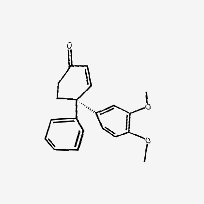 COc1ccc([C@@]2(c3ccccc3)C=CC(=O)CC2)cc1OC